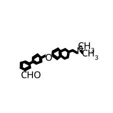 CN(C)CCC1CCc2cc(OCc3ccc(-c4cccc(C=O)c4)cc3)ccc2C1